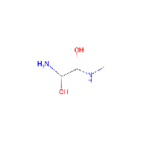 CNC(O)C(N)O